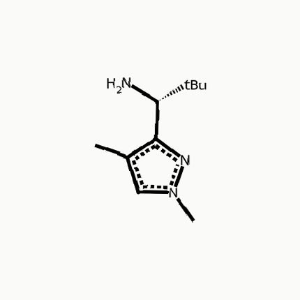 Cc1cn(C)nc1[C@H](N)C(C)(C)C